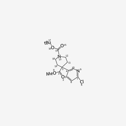 COC(=O)C1(c2ccc(Cl)nc2)CCN(C(=O)OC(C)(C)C)CC1